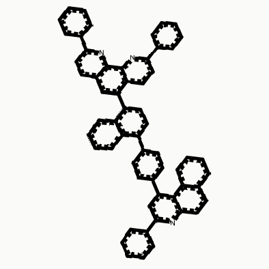 c1ccc(-c2cc(-c3ccc(-c4ccc(-c5cc6ccc(-c7ccccc7)nc6c6nc(-c7ccccc7)ccc56)c5ccccc45)cc3)c3c(ccc4ccccc43)n2)cc1